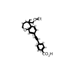 CCOCC1(C)CCCOc2cc(C#Cc3ccc(C(=O)O)cc3)ccc21